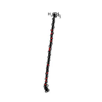 CC(C)(C)OC(=O)CCOCCOCCOCCOCCOCCOCCOCCOCCOCCOCCOCCOCCOCCOCCOCCOCCOCCOCCOCCOCCOCCOCCOCCOCCOC(=O)Oc1ccc([N+](=O)[O-])cc1